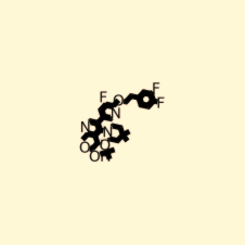 Cc1ncc(-c2cnc(OCCc3ccc(F)c(F)c3)c(F)c2)c(N2CCC(C)(C)CC2)c1[C@H](OC(C)(C)C)C(=O)O